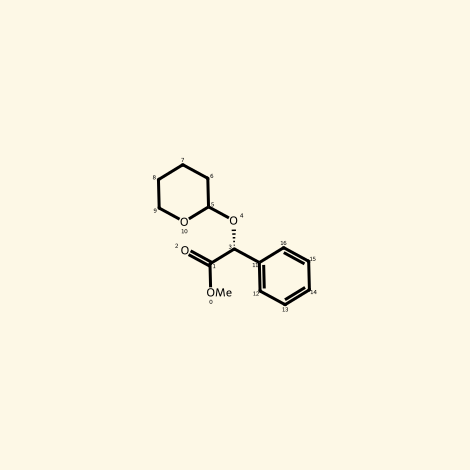 COC(=O)[C@H](OC1CCCCO1)c1ccccc1